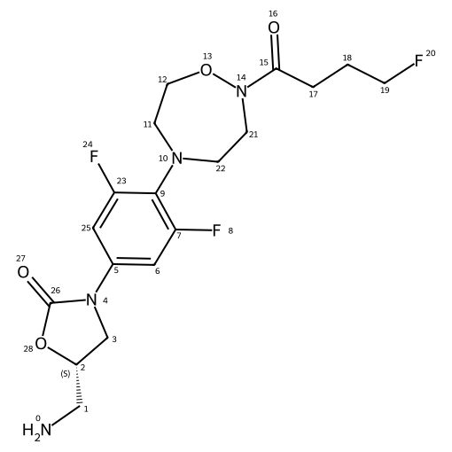 NC[C@H]1CN(c2cc(F)c(N3CCON(C(=O)CCCF)CC3)c(F)c2)C(=O)O1